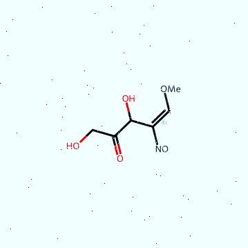 CO/C=C(/N=O)C(O)C(=O)CO